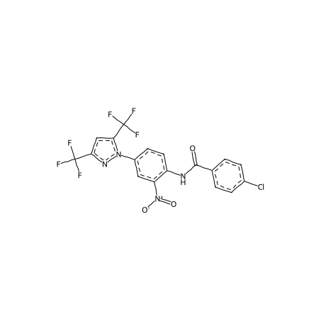 O=C(Nc1ccc(-n2nc(C(F)(F)F)cc2C(F)(F)F)cc1[N+](=O)[O-])c1ccc(Cl)cc1